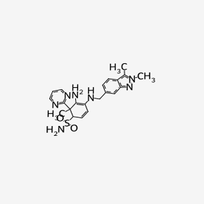 Cc1c2ccc(CNC3=C(N)C(C)(c4ncccn4)C(S(N)(=O)=O)C=C3)cc2nn1C